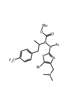 CC(=O)N(c1nc(CN(C)C)c(Br)s1)N(C(=O)OC(C)(C)C)C(C)Cc1ccc(C(F)(F)F)cc1